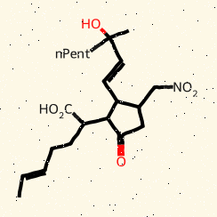 CC=CCCC(C(=O)O)C1C(=O)CC(C[N+](=O)[O-])C1C=CC(C)(O)CCCCC